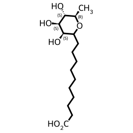 C[C@H]1OC(CCCCCCCCCC(=O)O)[C@@H](O)[C@@H](O)[C@@H]1O